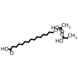 CC(=O)O.CCC(=O)O.CCCCCCCCCCCCCCCC(=O)O